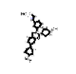 CN(C)c1ccc(-c2ccc(CN(c3cccc(/C=C/C(=O)O)c3)C(=O)[C@H]3CC[C@H](O)CC3)cc2)cc1